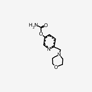 NC(=O)Oc1ccc(CN2CCOCC2)nc1